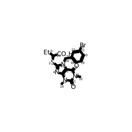 CCC(Sc1nc2c(c(=O)n(C)c(=O)n2C)n1Cc1cccc(Br)c1)C(=O)O